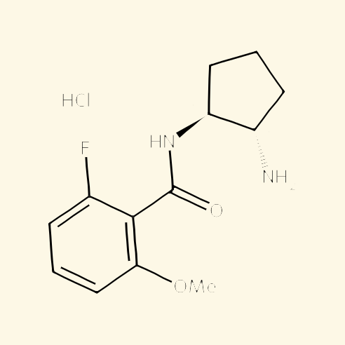 COc1cccc(F)c1C(=O)N[C@H]1CCC[C@@H]1N.Cl